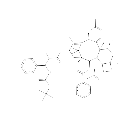 CC(=O)O[C@H]1C(=O)[C@@]2(C)[C@H](C(OC(=O)c3ccccc3)[C@]3(O)C[C@H](OC(=O)C(O)C(NC(=O)OC(C)(C)C)c4ccccc4)C(C)=C1C3(C)C)[C@]1(OC(C)=O)CO[C@@H]1C[C@@H]2O